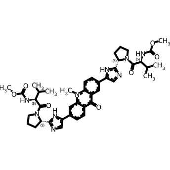 COC(=O)N[C@H](C(=O)N1CCC[C@H]1c1ncc(-c2ccc3c(c2)c(=O)c2ccc(-c4cnc([C@@H]5CCCN5C(=O)[C@@H](NC(=O)OC)C(C)C)[nH]4)cc2n3C)[nH]1)C(C)C